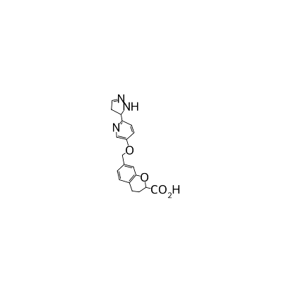 O=C(O)C1CCc2ccc(COc3ccc(C4CC=NN4)nc3)cc2O1